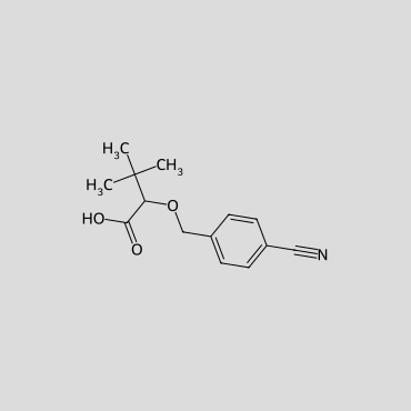 CC(C)(C)C(OCc1ccc(C#N)cc1)C(=O)O